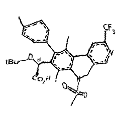 Cc1ccc(-c2c(C)c3c(c(C)c2[C@H](OC(C)(C)C)C(=O)O)N(S(C)(=O)=O)Cc2cnc(C(F)(F)F)cc2-3)cc1